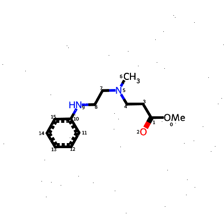 COC(=O)CCN(C)CCNc1ccccc1